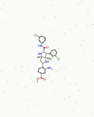 COC(=O)c1ccc(C2C[C@@H]3N[C@@H](C(=O)Nc4cccc(Cl)c4)[C@@H](c4cccc(Cl)c4F)[C@@H]3N2)c(N)c1